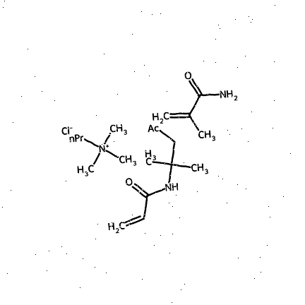 C=C(C)C(N)=O.C=CC(=O)NC(C)(C)CC(C)=O.CCC[N+](C)(C)C.[Cl-]